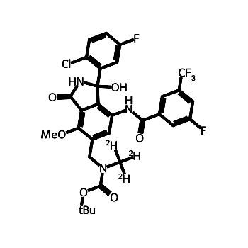 [2H]C([2H])([2H])N(Cc1cc(NC(=O)c2cc(F)cc(C(F)(F)F)c2)c2c(c1OC)C(=O)NC2(O)c1cc(F)ccc1Cl)C(=O)OC(C)(C)C